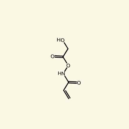 C=CC(=O)NOC(=O)CO